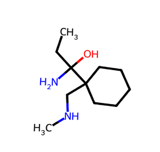 CCC(N)(O)C1(CNC)CCCCC1